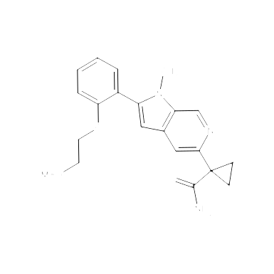 COCCOc1ccccc1-c1cc2cc(C3(C(N)=O)CC3)ncc2n1C